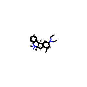 CCN(CC)c1cc(C)c2c(c1)[C@@H]1c3ccccc3[N+](C)(C)[C@@H]1C2